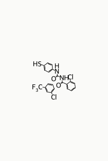 FC(F)(F)c1cccc(Cl)c1.O=C(NC(=O)c1ccccc1Cl)Nc1ccc(S)cc1